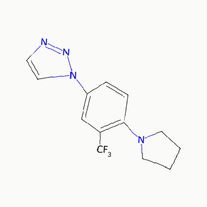 FC(F)(F)c1cc(-n2ccnn2)ccc1N1CCCC1